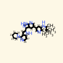 C=C(Nc1cncc(-c2cnc3[nH]nc(-c4cc5c(N6CCCCC6)nccc5[nH]4)c3c2)c1)C(C)(C)C